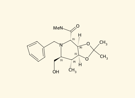 CNC(=O)[C@@H]1[C@H]2OC(C)(C)O[C@H]2[C@H](C)[C@@H](CO)N1Cc1ccccc1